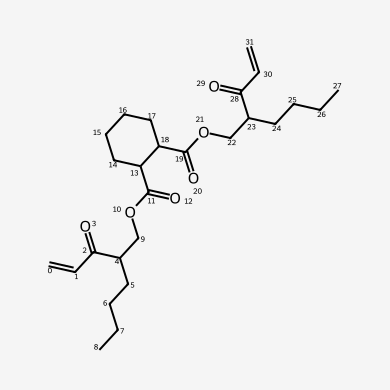 C=CC(=O)C(CCCC)COC(=O)C1CCCCC1C(=O)OCC(CCCC)C(=O)C=C